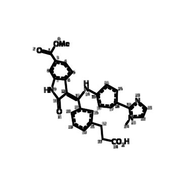 COC(=O)c1ccc2c(c1)NC(=O)C2=C(Nc1ccc(-c2nccn2C)cc1)c1cccc(CCC(=O)O)c1